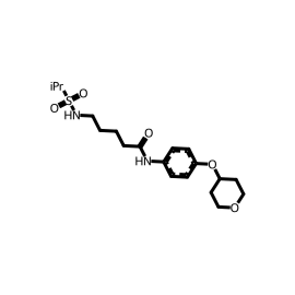 CC(C)S(=O)(=O)NCCCCC(=O)Nc1ccc(OC2CCOCC2)cc1